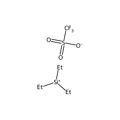 CC[Si+](CC)CC.O=S(=O)([O-])C(F)(F)F